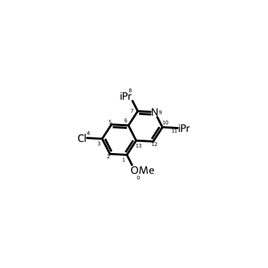 COc1cc(Cl)cc2c(C(C)C)nc(C(C)C)cc12